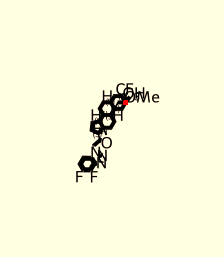 COCC[C@]12CC[C@](O)(C(F)(F)F)C[C@H]1CC[C@H]1[C@@H]3CC[C@H](C(=O)Cn4nnc5c(F)c(F)ccc54)[C@@]3(C)CC[C@@H]12